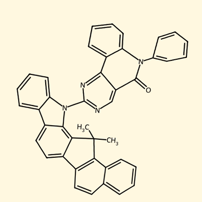 CC1(C)c2c(ccc3ccccc23)-c2ccc3c4ccccc4n(-c4ncc5c(=O)n(-c6ccccc6)c6ccccc6c5n4)c3c21